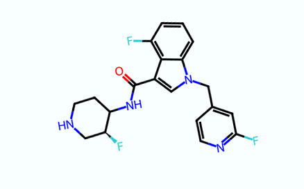 O=C(NC1CCNC[C@@H]1F)c1cn(Cc2ccnc(F)c2)c2cccc(F)c12